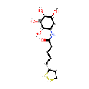 O=C(CCCC[C@@H]1CCSS1)N[C@@H]1C[C@H](O)[C@@H](O)[C@H](O)[C@H]1O